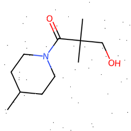 CC1CCN(C(=O)C(C)(C)CO)CC1